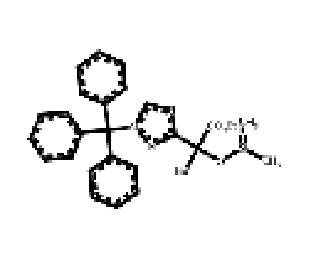 CCOC(=O)C(O[SiH](C)C)(c1ncn(C(c2ccccc2)(c2ccccc2)c2ccccc2)n1)C(C)(C)C